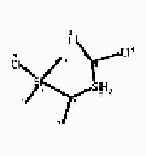 CC([SiH2]C(Cl)Cl)[Si](C)(C)Cl